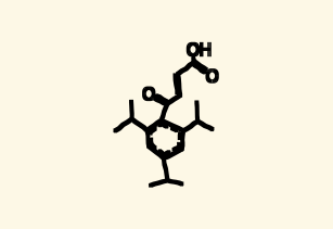 CC(C)c1cc(C(C)C)c(C(=O)/C=C/C(=O)O)c(C(C)C)c1